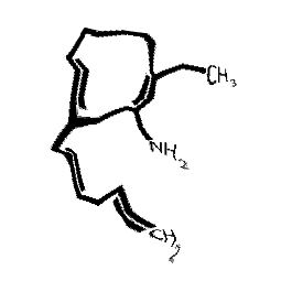 C=C/C=C\C1=CCCC(C)=C1N